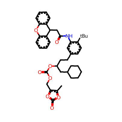 Cc1oc(=O)oc1COC(=O)OC(CCc1ccc(C(C)(C)C)c(NC(=O)CC2c3ccccc3Oc3ccccc32)c1)CC1CCCCC1